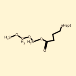 CCCCCCCCCCC(=O)O[SiH2]O[SiH2]O[SiH3]